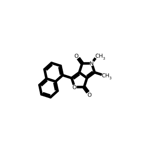 CC1=C2C(=O)OC(c3cccc4ccccc34)=C2C(=O)N1C